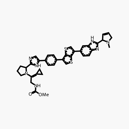 COC(=O)NCC(=C1CC1)N1CCCC1c1ncc(-c2ccc(-c3csc4c(-c5ccc6nc(C7C=CCN7C)[nH]c6c5)csc34)cc2)[nH]1